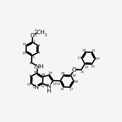 COc1ccc(CNc2ccnc3[nH]c(-c4cccc(OCc5ccccc5)c4)cc23)cc1